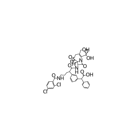 O=C(O)C1=C(CO)CS(=O)(=O)[C@H]2[C@@H](NC(=O)C(CCCNC(=O)c3ccc(Cl)cc3Cl)c3cccc(C(C(=O)O)c4ccccc4)c3)C(=O)N12